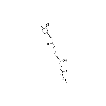 CCOC(=O)CCC[C@H](O)C#C/C=C/C=C/C(O)CC#Cc1ccc(Cl)c(Cl)c1